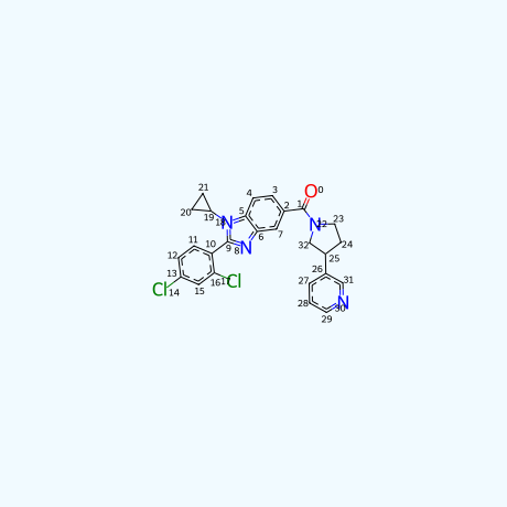 O=C(c1ccc2c(c1)nc(-c1ccc(Cl)cc1Cl)n2C1CC1)N1CCC(c2cccnc2)C1